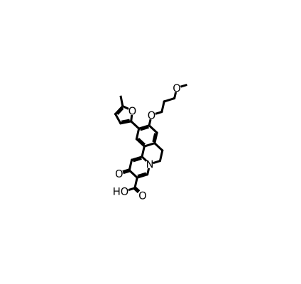 COCCCOc1cc2c(cc1-c1ccc(C)o1)-c1cc(=O)c(C(=O)O)cn1CC2